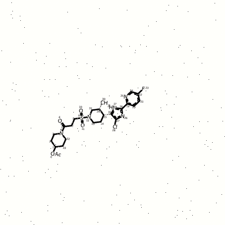 CC(=O)OC1CCN(C(=O)CCS(=O)(=O)N2CC[C@@H](c3[nH]c(-c4ccc(F)cn4)nc3Cl)[C@@H](C)C2)CC1